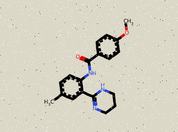 COc1ccc(C(=O)Nc2ccc(C)cc2C2=NCCCN2)cc1